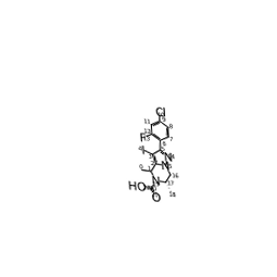 CC1c2c(I)c(-c3ccc(Cl)cc3F)nn2C[C@H](C)N1C(=O)O